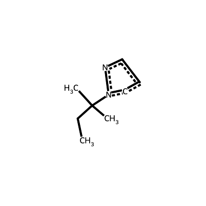 CCC(C)(C)n1cccn1